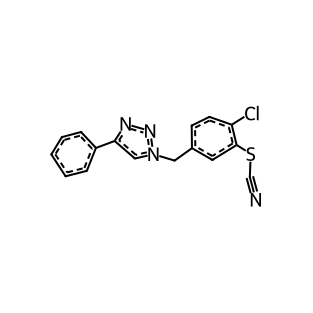 N#CSc1cc(Cn2cc(-c3ccccc3)nn2)ccc1Cl